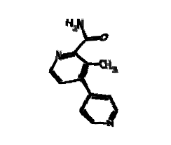 Cc1c(-c2ccncc2)ccnc1C(N)=O